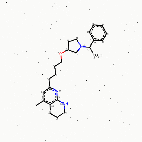 Cc1cc(CCCCOC2CCN(C(C(=O)O)c3ccccc3)C2)nc2c1CCCN2